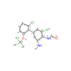 CNc1cc(-c2c(Cl)cccc2OC(F)(F)F)cc(Cl)c1NC=O